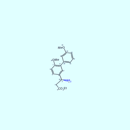 CCOC(=O)C[C@H](N)c1ccc(OC)c(-c2cccc(OC)c2)c1